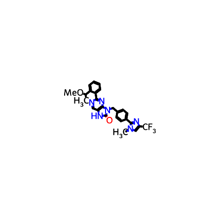 COC(C)c1ccccc1-c1ncc2[nH]c(=O)n(Cc3ccc(-c4nc(C(F)(F)F)cn4C)cc3)c2n1